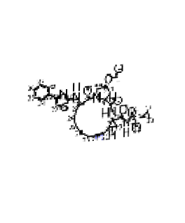 O=CO[C@@H]1C[C@H]2C(=O)N[C@]3(C(=O)NS(=O)(=O)C4CC4)C[C@H]3/C=C\CCCCC[C@H](Nc3nc(-c4ccccc4)cs3)C(=O)N2C1